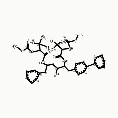 COC(=O)NC(C(=O)NC(Cc1ccccc1)CC(O)C(Cc1ccc(-c2ccccn2)cc1)NC(=O)C(NC(=O)OC)C(C)(C)C)C(C)(C)C